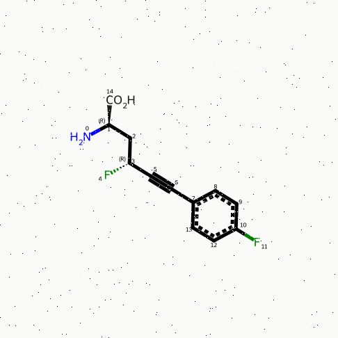 N[C@H](C[C@@H](F)C#Cc1ccc(F)cc1)C(=O)O